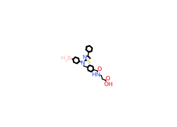 Bc1ccc(N(Cc2ccc(C(=O)NCCC(=O)O)cc2)c2nc(-c3ccccc3)cs2)cc1